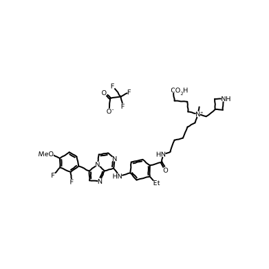 CCc1cc(Nc2nccn3c(-c4ccc(OC)c(F)c4F)cnc23)ccc1C(=O)NCCCCC[N+](C)(CCCC(=O)O)CC1CNC1.O=C([O-])C(F)(F)F